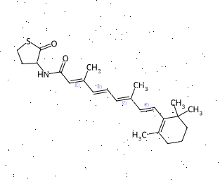 CC1=C(/C=C/C(C)=C/C=C/C(C)=C/C(=O)NC2CCSC2=O)C(C)(C)CCC1